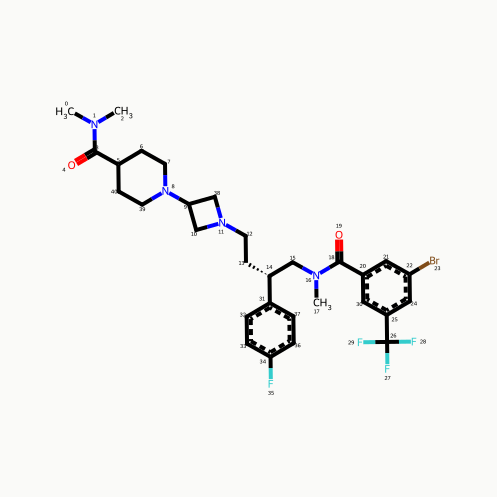 CN(C)C(=O)C1CCN(C2CN(CC[C@H](CN(C)C(=O)c3cc(Br)cc(C(F)(F)F)c3)c3ccc(F)cc3)C2)CC1